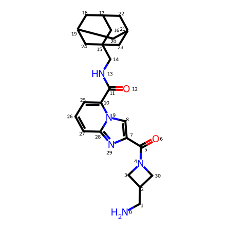 NCC1CN(C(=O)c2cn3c(C(=O)NCC45CC6CC(CC(C6)C4)C5)cccc3n2)C1